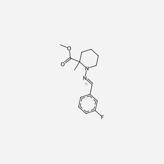 COC(=O)C1(C)CCCCN1/N=C/c1cccc(F)c1